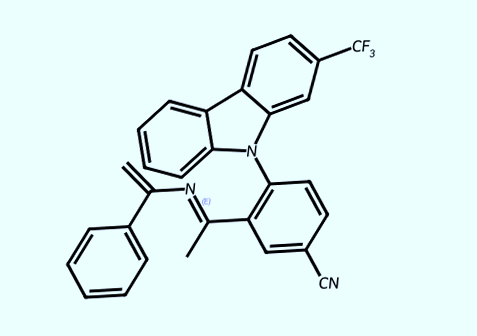 C=C(/N=C(\C)c1cc(C#N)ccc1-n1c2ccccc2c2ccc(C(F)(F)F)cc21)c1ccccc1